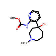 CC(C)(C)OC(=O)Nc1ncccc1C1(O)CCCN(C(=O)O)CC1